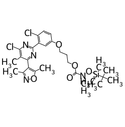 Cc1noc(C)c1-c1nc(-c2cc(OCCCOC(=O)N(C)O[Si](C)(C)C(C)(C)C)ccc2Cl)nc(Cl)c1C